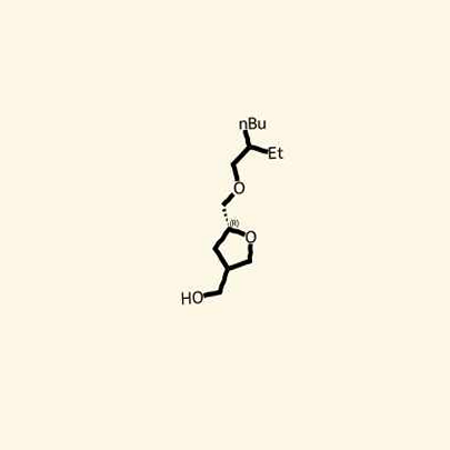 CCCCC(CC)COC[C@H]1CC(CO)CO1